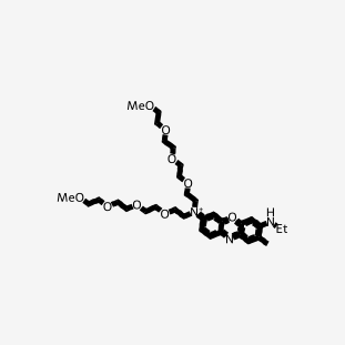 CCNc1cc2oc3cc(=[N+](CCOCCOCCOCCOC)CCOCCOCCOCCOC)ccc-3nc2cc1C